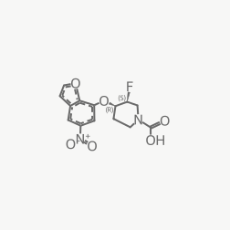 O=C(O)N1CC[C@@H](Oc2cc([N+](=O)[O-])cc3ccoc23)[C@@H](F)C1